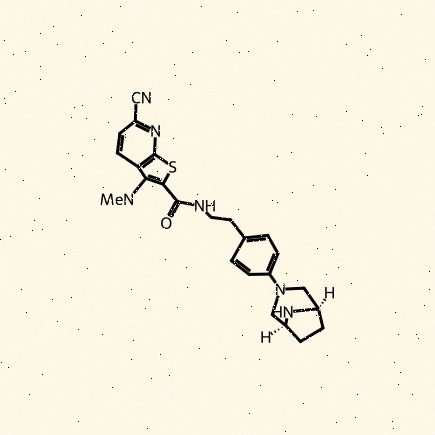 CNc1c(C(=O)NCCc2ccc(N3C[C@H]4CC[C@@H](C3)N4)cc2)sc2nc(C#N)ccc12